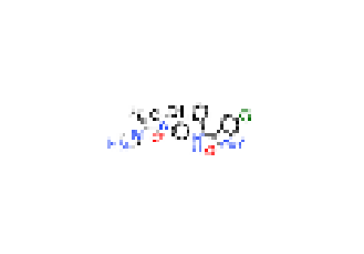 CC(C)N(C(=O)CN1CCNCC1)c1ccc(N/C(=C2\C(=O)Nc3cc(Cl)ccc32)c2ccccc2)cc1